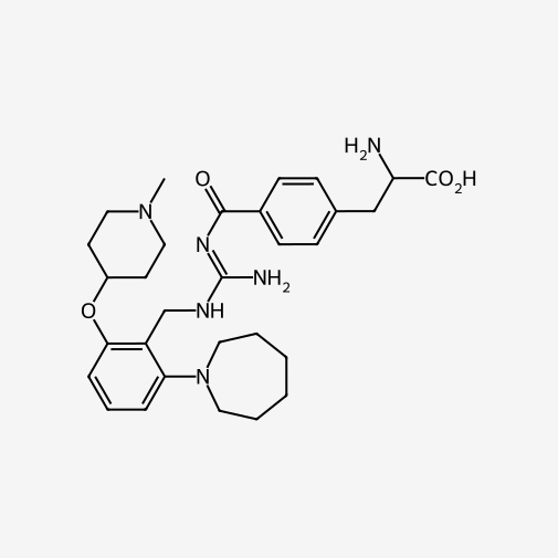 CN1CCC(Oc2cccc(N3CCCCCC3)c2CNC(N)=NC(=O)c2ccc(CC(N)C(=O)O)cc2)CC1